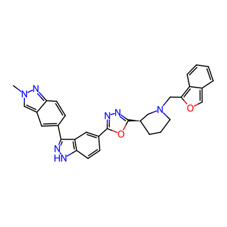 Cn1cc2cc(-c3n[nH]c4ccc(-c5nnc([C@@H]6CCCN(Cc7occ8ccccc78)C6)o5)cc34)ccc2n1